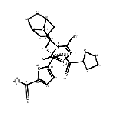 Cc1nnc(C(C)C)n1C1CC2CCC(C1)N2CC[C@H](NC(=O)C1CCCC1)c1ccc(C(N)=O)s1